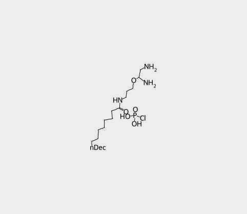 CCCCCCCCCCCCCCCCCC(=O)NCCCOC(N)CN.O=P(O)(O)Cl